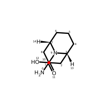 NC1C[C@H]2CCC[C@@H](C1)N2C(=O)O